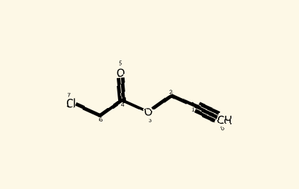 C#CCOC(=O)CCl